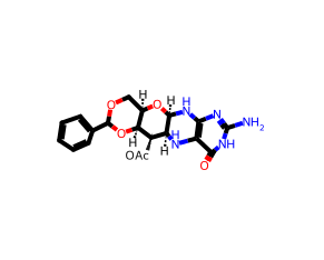 CC(=O)O[C@@H]1[C@@H]2Nc3c(nc(N)[nH]c3=O)N[C@@H]2O[C@@H]2COC(c3ccccc3)O[C@H]12